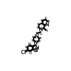 C=C1c2ncccc2CCN1CCN1CCN(c2noc3cc(Cl)ccc23)CC1